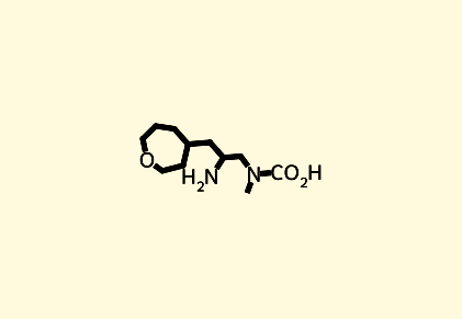 CN(CC(N)CC1CCCOCC1)C(=O)O